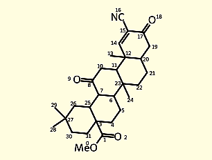 COC(=O)C12CCC3C(C(=O)CC4C5(C)C=C(C#N)C(=O)CC5CCC34C)C1CC(C)(C)CC2